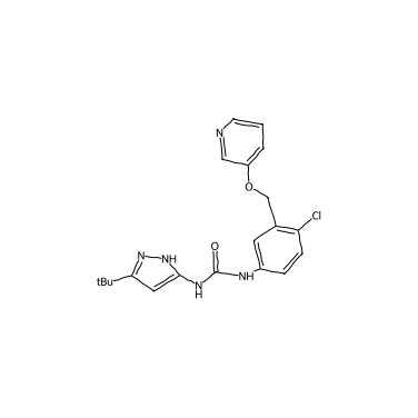 CC(C)(C)c1cc(NC(=O)Nc2ccc(Cl)c(COc3cccnc3)c2)[nH]n1